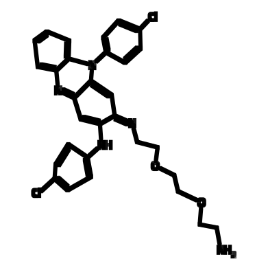 NCCOCCOCC/N=c1/cc2n(-c3ccc(Cl)cc3)c3ccccc3nc-2cc1Nc1ccc(Cl)cc1